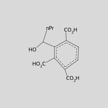 CCCC(O)c1c(C(=O)O)ccc(C(=O)O)c1C(=O)O